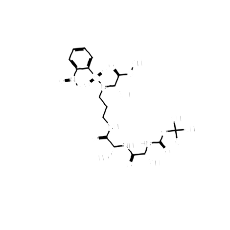 COC(=O)[C@H](C)N(CCCNC(=O)[C@@H](C)NC(=O)[C@@H](C)NC(=O)OC(C)(C)C)S(=O)(=O)c1ccccc1[N+](=O)[O-]